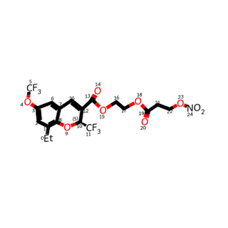 CCc1cc(OC(F)(F)F)cc2c1O[C@H](C(F)(F)F)C(C(=O)OCCOC(=O)CCO[N+](=O)[O-])=C2